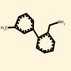 Cc1cccc(-c2ccccc2CN)c1